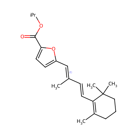 CC1=C(C=C/C(C)=C/c2ccc(C(=O)OC(C)C)o2)C(C)(C)CCC1